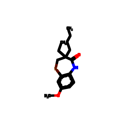 CCCCC1(CC)CSc2cc(OC)ccc2NC1=O